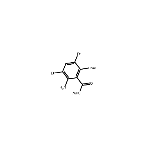 CCc1cc(CC)c(OC)c(C(=O)OC)c1N